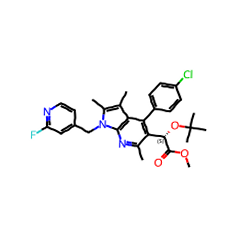 COC(=O)[C@@H](OC(C)(C)C)c1c(C)nc2c(c(C)c(C)n2Cc2ccnc(F)c2)c1-c1ccc(Cl)cc1